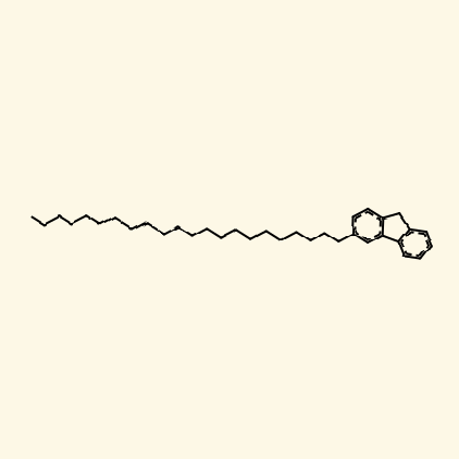 CCCCCCCCCCCCCCCCCCCCCCc1ccc2c(c1)-c1ccccc1C2